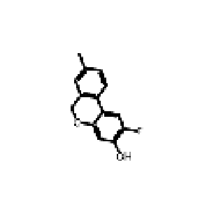 Cc1ccc2c(c1)COc1cc(O)c(F)cc1-2